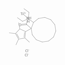 CC[SiH](CC)C1CCCCCCCCCCC1(C(=O)[NH][Ti+2])C1=C(C)C(C)=C(C)C1C.[Cl-].[Cl-]